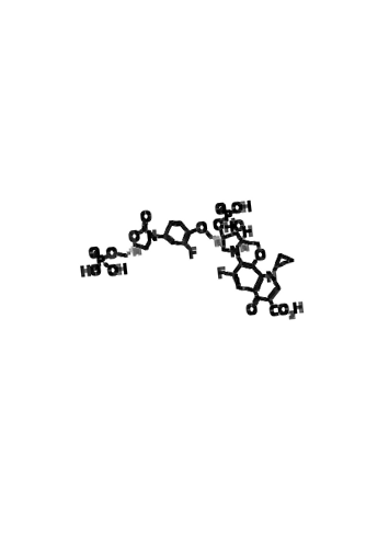 O=C(O)c1cn(C2CC2)c2c3c(c(F)cc2c1=O)N1C[C@@](COc2ccc(N4C[C@H](COP(=O)(O)O)OC4=O)cc2F)(OP(=O)(O)O)C[C@H]1CO3